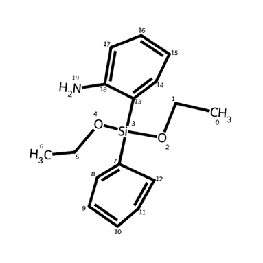 CCO[Si](OCC)(c1ccccc1)c1ccccc1N